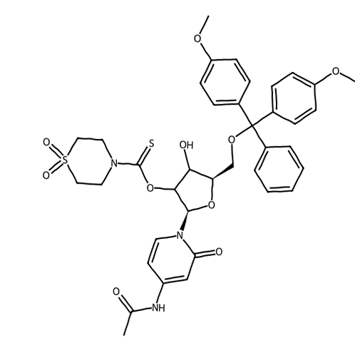 COc1ccc(C(OC[C@H]2O[C@@H](n3ccc(NC(C)=O)cc3=O)C(OC(=S)N3CCS(=O)(=O)CC3)C2O)(c2ccccc2)c2ccc(OC)cc2)cc1